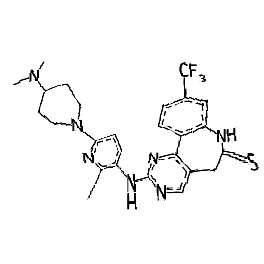 Cc1nc(N2CCC(N(C)C)CC2)ccc1Nc1ncc2c(n1)-c1ccc(C(F)(F)F)cc1NC(=S)C2